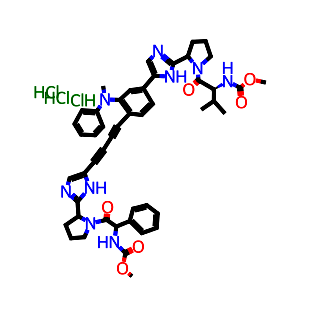 COC(=O)NC(C(=O)N1CCCC1c1ncc(C#CC#Cc2ccc(-c3cnc(C4CCCN4C(=O)[C@@H](NC(=O)OC)C(C)C)[nH]3)cc2N(C)c2ccccc2)[nH]1)c1ccccc1.Cl.Cl.Cl